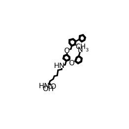 Cc1c(COc2ccc(CNCCCCCCC(=O)NO)c(Oc3cccc(C#N)c3)c2)cccc1-c1ccccc1